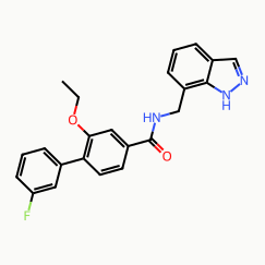 CCOc1cc(C(=O)NCc2cccc3cn[nH]c23)ccc1-c1cccc(F)c1